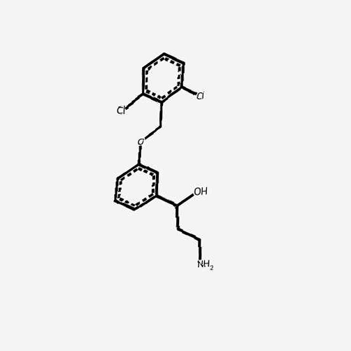 NCCC(O)c1cccc(OCc2c(Cl)cccc2Cl)c1